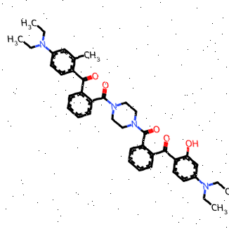 CCN(CC)c1ccc(C(=O)c2ccccc2C(=O)N2CCN(C(=O)c3ccccc3C(=O)c3ccc(N(CC)CC)cc3O)CC2)c(C)c1